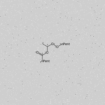 CCCCCOOC(C)OC(=O)CCCCC